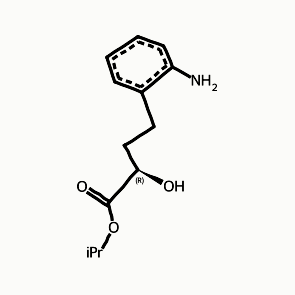 CC(C)OC(=O)[C@H](O)CCc1ccccc1N